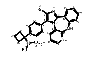 CC(C)(C)N(C(=O)O)C1(c2ccc(-c3c(Br)nc4n3-c3cccnc3Nc3ccccc3-4)cc2)CCC1